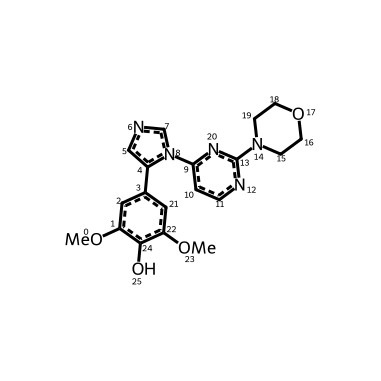 COc1cc(-c2cncn2-c2ccnc(N3CCOCC3)n2)cc(OC)c1O